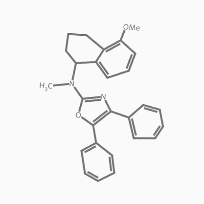 COc1cccc2c1CCCC2N(C)c1nc(-c2ccccc2)c(-c2ccccc2)o1